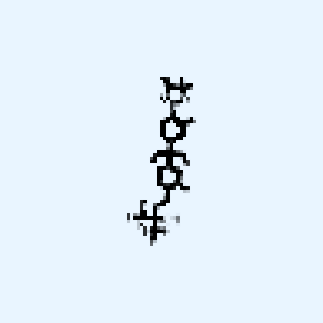 C=C1OB(c2ccc(C(CC)(CC)c3ccc(CCC(O)(C(F)(F)F)C(F)(F)F)c(C)c3)cc2C)OC1(C)C